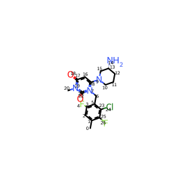 Cc1cc(F)c(Cn2c(N3CCC[C@@H](N)C3)cc(=O)n(C)c2=O)c(Cl)c1F